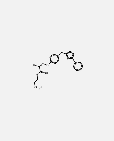 CC[C@@H](COc1ccc(Cc2ccc(-c3ccccc3)s2)cc1)C(=N)CCCC(=O)O